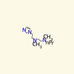 CCCN(C)CCN(C)CCn1ccnc1